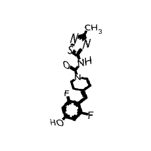 Cc1nsc(NC(=O)N2CCC(=Cc3c(F)cc(O)cc3F)CC2)n1